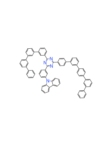 c1ccc(-c2cccc(-c3ccc(-c4cccc(-c5ccc(-c6nc(-c7cccc(-c8cccc(-c9cccc(-c%10ccccc%10)c9)c8)c7)nc(-c7cccc(-n8c9ccccc9c9ccccc98)c7)n6)cc5)c4)cc3)c2)cc1